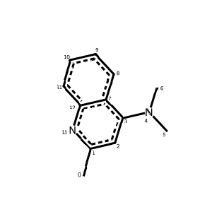 Cc1cc(N(C)C)c2ccccc2n1